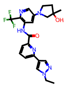 CCn1cc(-c2cccc(C(=O)Nc3cc(N4CCC(C)(O)C4)cnc3C(F)(F)F)n2)cn1